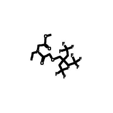 CCN(CC(=O)OC)C(=O)COCC(CC(F)(F)F)(CC(F)(F)F)CC(F)(F)F